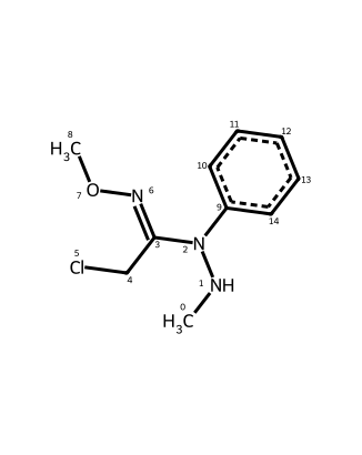 CNN(C(CCl)=NOC)c1ccccc1